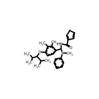 Cc1c(OC(C(C)C)C(C)C)ccc(C(NC(=O)C2=CCC=C2)N(C)c2ccccc2)c1C